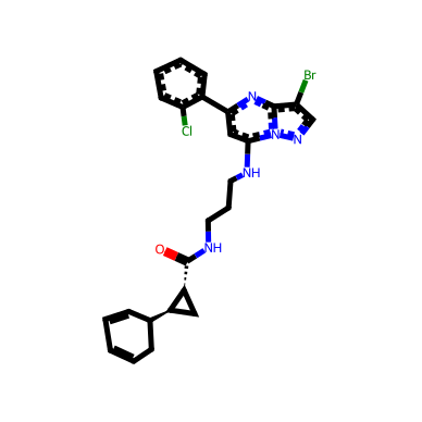 O=C(NCCCNc1cc(-c2ccccc2Cl)nc2c(Br)cnn12)[C@@H]1C[C@H]1C1C=CC=CC1